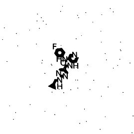 O=C(Nc1ccncc1Nc1ccc(F)cc1)c1cnc(NCC2CC2)nc1